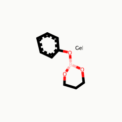 [Ge].c1ccc(OB2OCCCO2)cc1